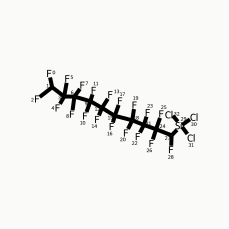 FC(F)C(F)(F)C(F)(F)C(F)(F)C(F)(F)C(F)(F)C(F)(F)C(F)(F)C(F)(F)C(F)[Si](Cl)(Cl)Cl